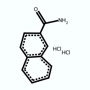 Cl.Cl.NC(=O)c1ccc2ccccc2c1